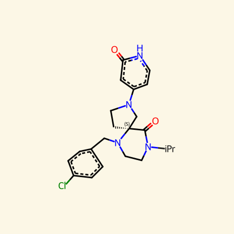 CC(C)N1CCN(Cc2ccc(Cl)cc2)[C@]2(CCN(c3cc[nH]c(=O)c3)C2)C1=O